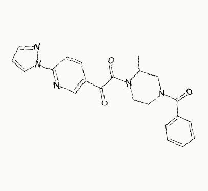 CC1CN(C(=O)c2ccccc2)CCN1C(=O)C(=O)c1ccc(-n2cccn2)nc1